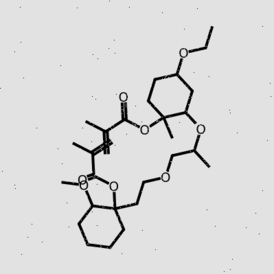 C=C(C)C(=O)OC1(C)CCC(OCC)CC1OC(C)COCCC1(OC(=O)C(=C)C)CCCCC1OC